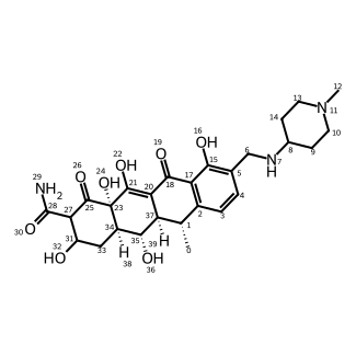 C[C@H]1c2ccc(CNC3CCN(C)CC3)c(O)c2C(=O)C2=C(O)[C@]3(O)C(=O)C(C(N)=O)C(O)C[C@@H]3[C@@H](O)[C@@H]21